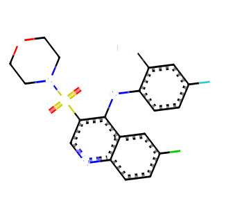 O=C(O)c1cc(F)ccc1Nc1c(S(=O)(=O)N2CCOCC2)cnc2ccc(Cl)cc12